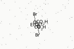 CCc1c(OCCCCCCBr)c(C(=O)O)c(CC)c(OCCCCCCBr)c1C(=O)O